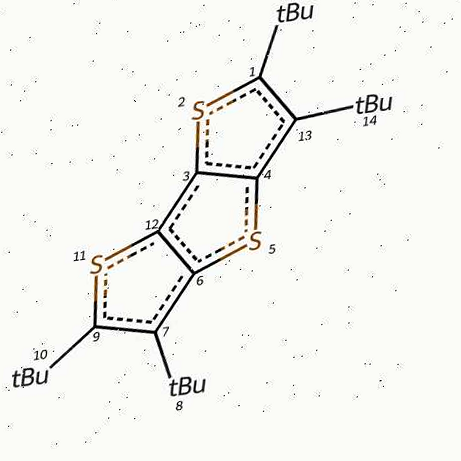 CC(C)(C)c1sc2c(sc3c(C(C)(C)C)c(C(C)(C)C)sc32)c1C(C)(C)C